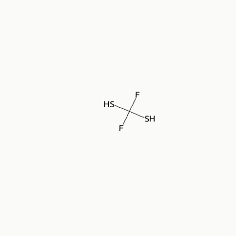 FC(F)(S)S